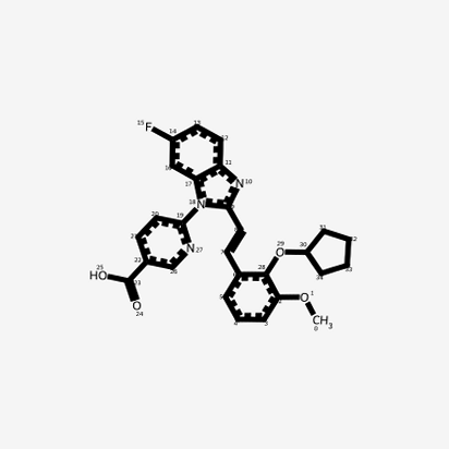 COc1cccc(C=Cc2nc3ccc(F)cc3n2-c2ccc(C(=O)O)cn2)c1OC1CCCC1